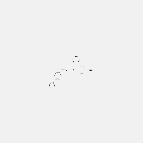 Cc1ccc(N(CC(=O)Nc2ccc(-c3cocn3)cc2)C(=O)[C@H]2CC[C@H](C#N)CC2)cc1